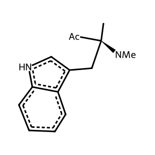 CN[C@@](C)(Cc1c[nH]c2ccccc12)C(C)=O